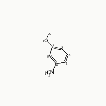 COc1c[c]cc(N)c1